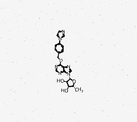 C[C@H]1O[C@@H](n2cnc3c(OCc4ccc(-n5ccnc5)cc4)ncnc32)[C@H](O)[C@@H]1O